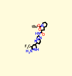 CC(C)(C)OC(=O)N1CCCCC1CCC(=O)N[C@H]1CN2N=C(C3=CC(C(F)(F)F)=C(N)NC3)C=CC2=N1